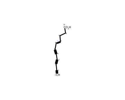 C#CC#CC#C/C=C/CCC(=O)O